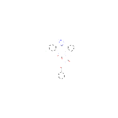 O=C(ONC(=O)[C@H](Cc1ccccc1)N1CCN(c2cc(Cl)ccc2-n2cnnn2)C(=O)C1=O)c1ccccc1